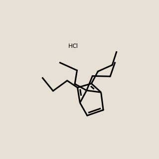 CCCC1=C2C=CC(=C1CCC)C2(CCC)CCC.Cl